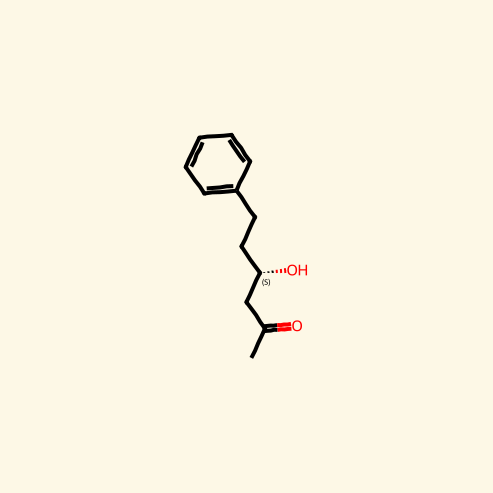 CC(=O)C[C@@H](O)CCc1ccccc1